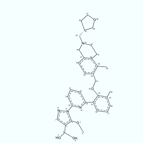 COc1c(C(O)O)cnn1-c1cccc(-c2cccc(C)c2OCc2ccc3c(c2C)CCN(C[C@@H]2CCOC2)C3)n1